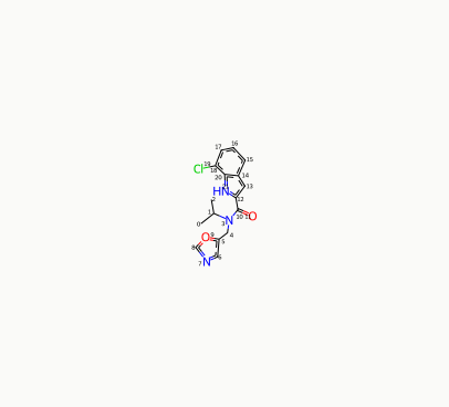 CC(C)N(Cc1cnco1)C(=O)c1cc2cccc(Cl)c2[nH]1